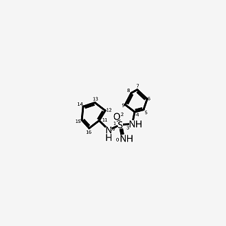 N=S(=O)(Nc1ccccc1)Nc1ccccc1